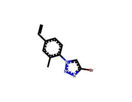 C=Cc1ccc(-n2cc(Br)nn2)c(C)c1